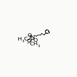 Cc1sc(C)c2c1C(=O)N(CCCCCCc1ccccc1)C2=O